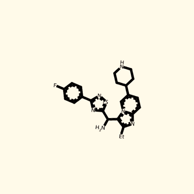 CCc1nc2ccc(C3CCNCC3)cn2c1C(N)c1nc(-c2ccc(F)cc2)ns1